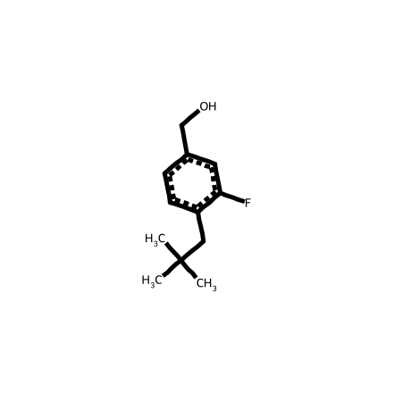 CC(C)(C)Cc1ccc(CO)cc1F